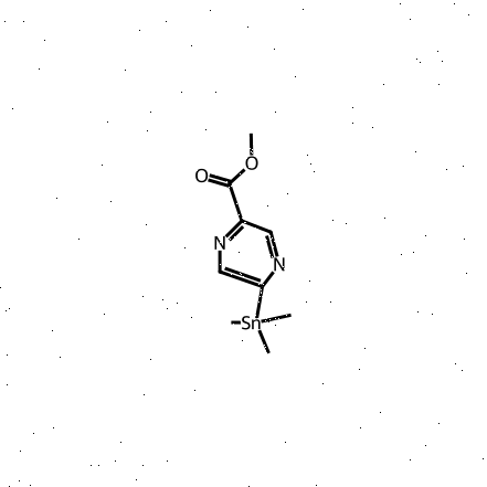 COC(=O)c1cn[c]([Sn]([CH3])([CH3])[CH3])cn1